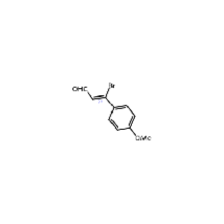 COc1ccc(/C(Br)=C/C=O)cc1